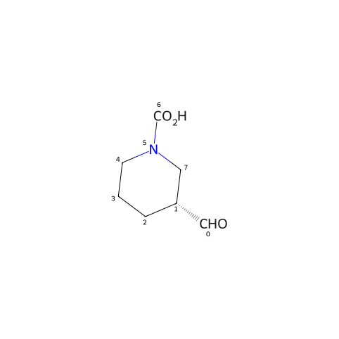 O=C[C@@H]1CCCN(C(=O)O)C1